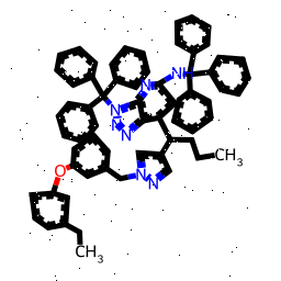 CCCC(c1cnn(Cc2cccc(Oc3cccc(CC)c3)c2)c1)c1cc(NC(c2ccccc2)(c2ccccc2)c2ccccc2)nc2c1nnn2C(c1ccccc1)(c1ccccc1)c1ccccc1